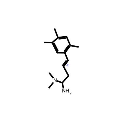 Cc1cc(C)c(/C=C/CC(N)N(C)C)cc1C